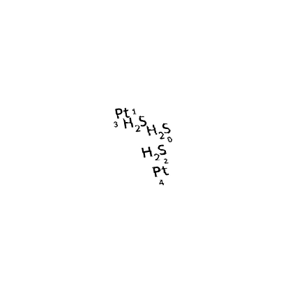 S.S.S.[Pt].[Pt]